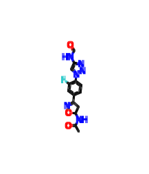 CC(=O)NC1CC(c2ccc(-n3cc(NC=O)nn3)c(F)c2)=NO1